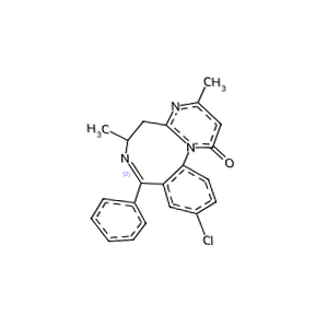 Cc1cc(=O)n2c(n1)CC(C)/N=C(/c1ccccc1)c1cc(Cl)ccc1-2